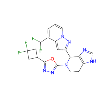 FC(F)c1cccn2nc(C3c4nc[nH]c4CCN3c3nnc(C4CC(F)(F)C4)o3)cc12